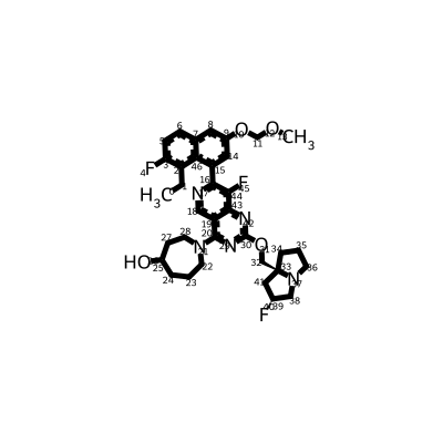 CCc1c(F)ccc2cc(OCOC)cc(-c3ncc4c(N5CCCC(O)CC5)nc(OC[C@@]56CCCN5C[C@H](F)C6)nc4c3F)c12